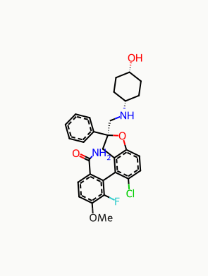 COc1ccc(C(N)=O)c(-c2c(Cl)ccc3c2C[C@@](CN[C@H]2CC[C@@H](O)CC2)(c2ccccc2)O3)c1F